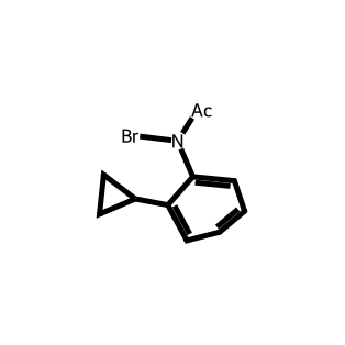 CC(=O)N(Br)c1ccccc1C1CC1